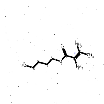 C/C(N)=C(\N)C(=O)OCCCCO